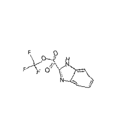 O=S(=O)(OC(F)(F)F)c1nc2ccccc2[nH]1